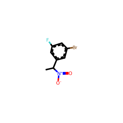 CC(c1cc(F)cc(Br)c1)[N+](=O)[O-]